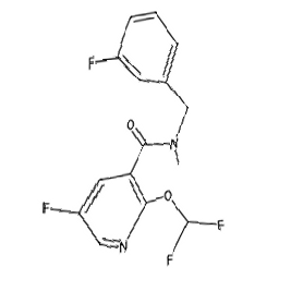 CN(Cc1cccc(F)c1)C(=O)c1cc(F)cnc1OC(F)F